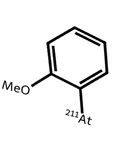 COc1ccccc1[211At]